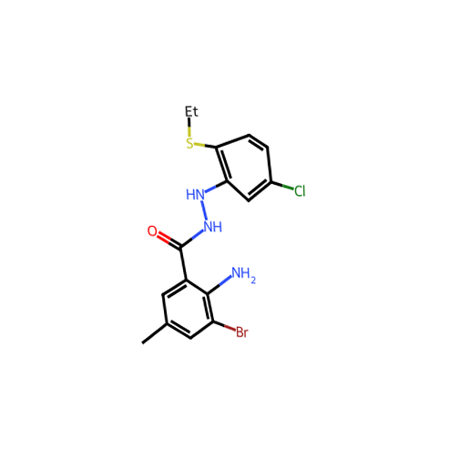 CCSc1ccc(Cl)cc1NNC(=O)c1cc(C)cc(Br)c1N